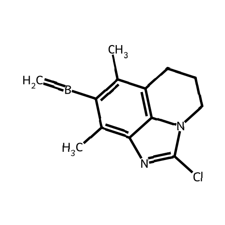 C=Bc1c(C)c2c3c(nc(Cl)n3CCC2)c1C